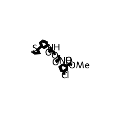 COC(=O)c1cc(Cl)ccc1NC(=O)COCC(=O)Nc1cccc(-c2cccs2)c1